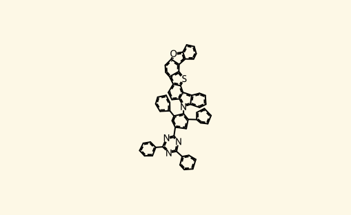 c1ccc(-c2nc(-c3ccccc3)nc(-c3cc(-c4ccccc4)c(-n4c5ccccc5c5c6sc7c(ccc8oc9ccccc9c87)c6ccc54)c(-c4ccccc4)c3)n2)cc1